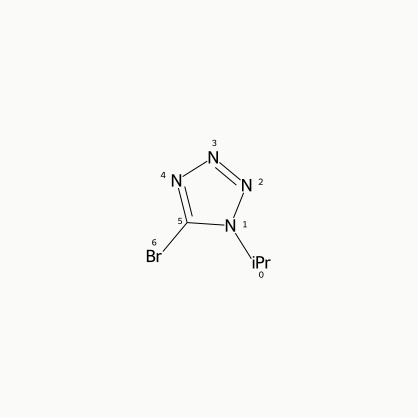 CC(C)n1nnnc1Br